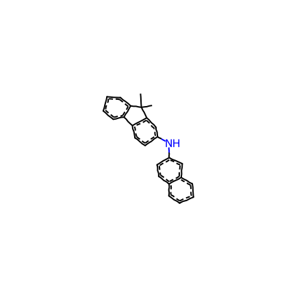 CC1(C)c2ccccc2-c2ccc(Nc3ccc4ccccc4c3)cc21